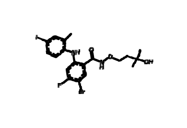 Cc1cc(I)ccc1Nc1cc(F)c(Br)cc1C(=O)NOCCC(C)(C)O